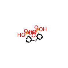 O=P(O)(O)c1cccc2c1Oc1c(cccc1P(=O)(O)O)C2